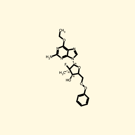 CCOc1nc(N)nc2c1ncn2[C@@H]1OC(COOc2ccccc2)[C@@H](O)[C@@]1(C)F